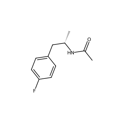 CC(=O)N[C@@H](C)Cc1ccc(F)cc1